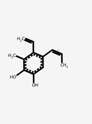 C=Cc1c(/C=C\C)cc(O)c(O)c1C